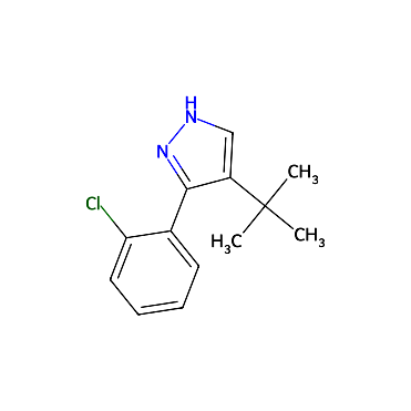 CC(C)(C)c1c[nH]nc1-c1ccccc1Cl